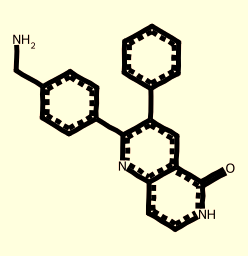 NCc1ccc(-c2nc3cc[nH]c(=O)c3cc2-c2ccccc2)cc1